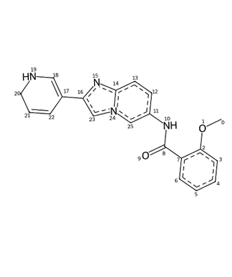 COc1ccccc1C(=O)Nc1ccc2nc(C3=CNCC=C3)cn2c1